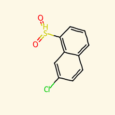 O=[SH](=O)c1cccc2ccc(Cl)cc12